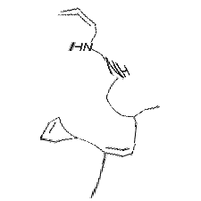 C=CNNCC(C)/C=C(/C)C1C=C1